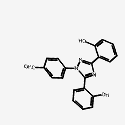 O=Cc1ccc(-n2nc(-c3ccccc3O)nc2-c2ccccc2O)cc1